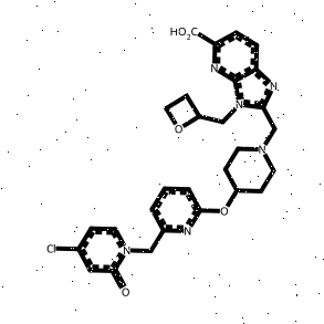 O=C(O)c1ccc2nc(CN3CCC(Oc4cccc(Cn5ccc(Cl)cc5=O)n4)CC3)n(CC3CCO3)c2n1